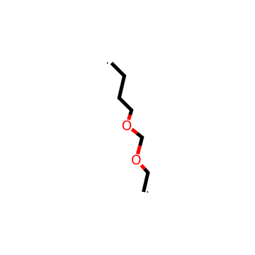 [CH2]CCCOCOC[CH2]